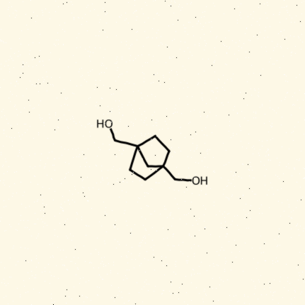 OCC12CCC(CO)(CC1)C2